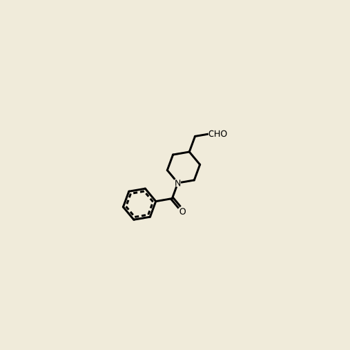 O=CCC1CCN(C(=O)c2ccccc2)CC1